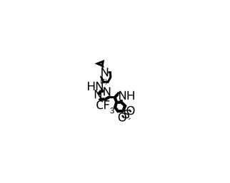 CS(=O)(=O)c1ccc2c(-c3nc(N[C@H]4CCCN(C5CC5)C4)ncc3C(F)(F)F)c[nH]c2c1